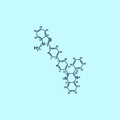 Cn1c(-c2ccc(-c3ccc(-c4nc5ccccc5nc4-c4ccccc4)cc3)cc2)nc2ccccc21